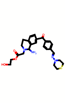 NC1c2cc(C(=O)c3ccc(C=NN4CCSCC4)cc3)ccc2CCN1CC(=O)OCCO